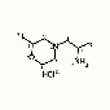 CC(N)CN1CCOC(I)C1.Cl